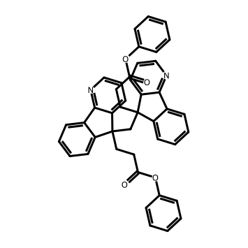 O=C(CCC1(CC2(CCC(=O)Oc3ccccc3)c3ccccc3-c3ncccc32)c2ccccc2-c2ncccc21)Oc1ccccc1